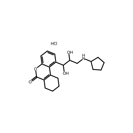 Cl.O=c1oc2cccc(C(O)C(O)CNC3CCCC3)c2c2c1CCCC2